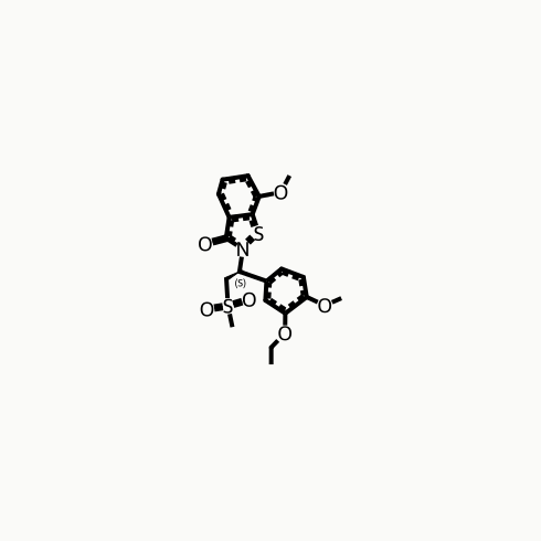 CCOc1cc([C@@H](CS(C)(=O)=O)n2sc3c(OC)cccc3c2=O)ccc1OC